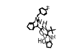 CC(C)(C)[C@H](NC(=O)c1nn(Cc2ccc(F)cc2)c2ccccc12)C(=O)N[C@H]1CCC[C@H]1O